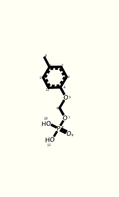 Cc1ccc(OCOP(=O)(O)O)cc1